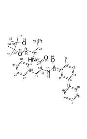 Cc1ccc(-c2ccccc2)cc1C(=O)N[C@@H](Cc1ccccc1)C(=O)NC(CC(C)C)B1OC(C)(C)C(C)(C)O1